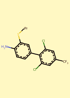 CC(C)Sc1cc(-c2c(Cl)cc(C(F)(F)F)cc2Cl)ccc1N